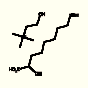 CCCCCCCCCCCCCCCCC(O)C(=O)O.C[N+](C)(C)CCO